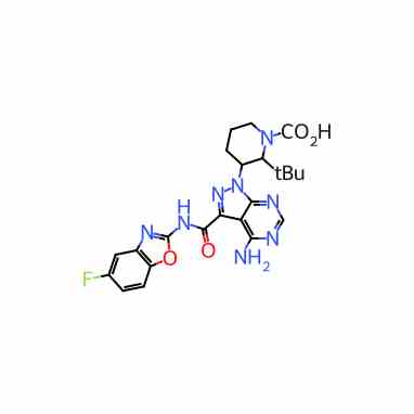 CC(C)(C)C1C(n2nc(C(=O)Nc3nc4cc(F)ccc4o3)c3c(N)ncnc32)CCCN1C(=O)O